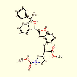 CC(C)(C)OC(=O)C(Cc1cccc2oc(CO[Si](c3ccccc3)(c3ccccc3)C(C)(C)C)cc12)[C@H]1CCN(C(=O)OC(C)(C)C)C1